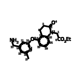 CCOC(=O)CN1C(=O)CCc2c(Oc3cc(CN)cc(C)n3)cccc21